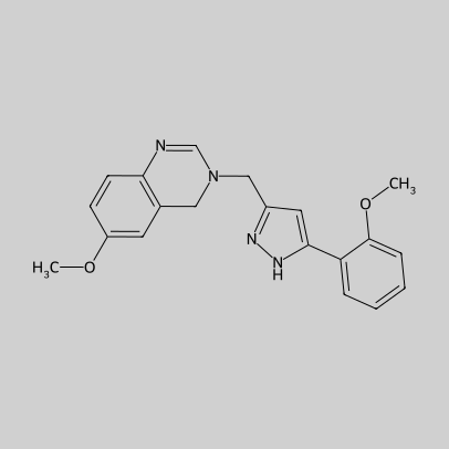 COc1ccc2c(c1)CN(Cc1cc(-c3ccccc3OC)[nH]n1)C=N2